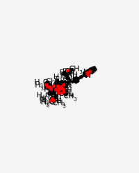 COC(=O)N[C@H](C(=O)N[C@@H](Cc1ccc(C#Cc2cnc(N3CC4CCC(C3)N4C3COC3)nc2)cc1)[C@H](CN(Cc1c(F)cc(-c2ccn(C(F)F)n2)cc1F)NC(=O)[C@@H](NC(=O)OC)C(C)(C)C(F)(F)F)OC(=O)O[C@H](C)OC(=O)CC(C)(C)c1c(CC(=O)OC(C)(C)C)cc(C)cc1OP(=O)(OC(C)(C)C)OC(C)(C)C)C(C)(C)C(F)(F)F